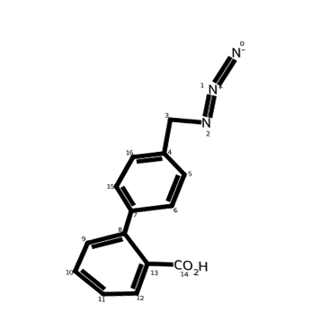 [N-]=[N+]=NCc1ccc(-c2ccccc2C(=O)O)cc1